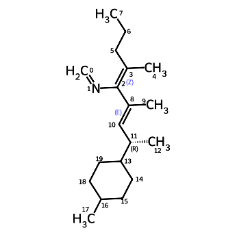 C=NC(=C(/C)CCC)/C(C)=C/[C@H](C)C1CCC(C)CC1